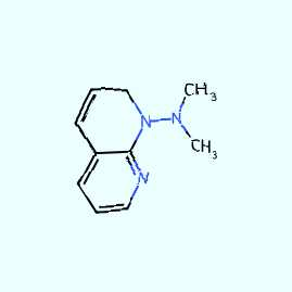 CN(C)N1CC=Cc2cccnc21